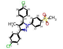 Cc1c(-c2ccc(Cl)cc2)nn(-c2ccc(S(C)(=O)=O)cc2)c1-c1ccc(Cl)cc1